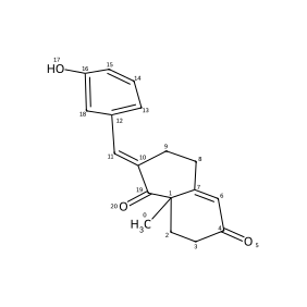 CC12CCC(=O)C=C1CCC(=Cc1cccc(O)c1)C2=O